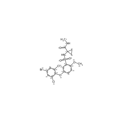 CNC(=O)C1(NS(=O)(=O)c2cc(Oc3c(Cl)cc(Br)cc3Cl)ccc2OC)CC1